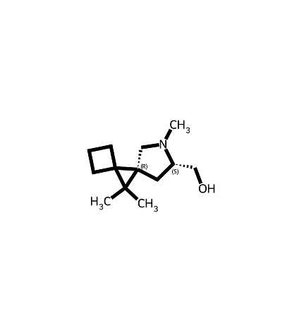 CN1C[C@]2(C[C@H]1CO)C(C)(C)C21CCC1